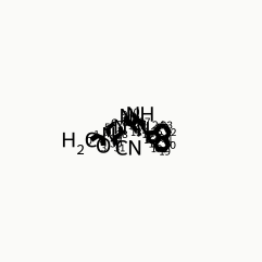 C=CC(=O)N1CCN(c2n[nH]c3c2CN([C@@H]2Cc4cccc5cccc2c45)C3)CC1CC#N